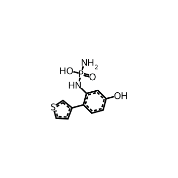 NP(=O)(O)Nc1cc(O)ccc1-c1ccsc1